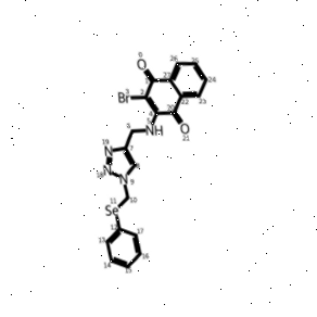 O=C1C(Br)=C(NCc2cn(C[Se]c3ccccc3)nn2)C(=O)c2ccccc21